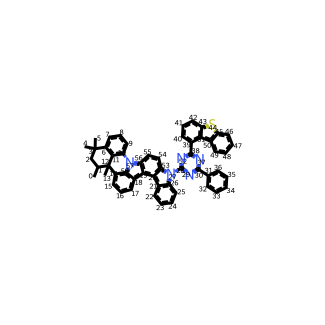 CC1CC(C)(C)c2cccc3c2C1(C)c1cccc2c4c5c6ccccc6n(-c6nc(-c7ccccc7)nc(-c7cccc8sc9ccccc9c78)n6)c5ccc4n-3c12